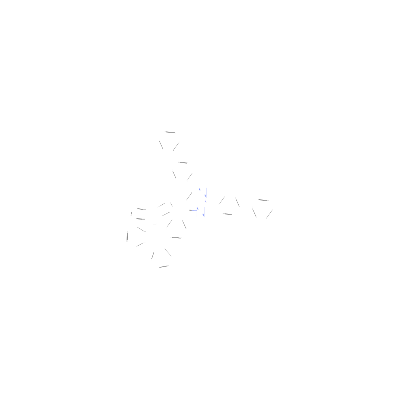 c1ccc(-c2ccc(-c3cc(-c4ccc5c(c4)C4(c6ccccc6-c6ccccc6-5)c5ccccc5-c5ccccc54)nc(-c4ccc(-c5ccccc5)cc4)n3)cc2)cc1